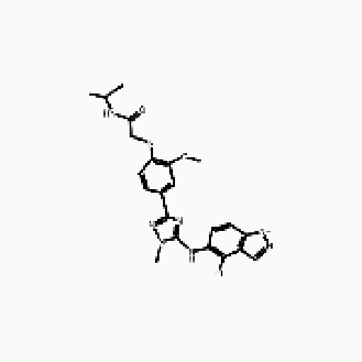 COc1cc(-c2nc(Nc3ccc4[nH]ncc4c3Cl)n(C)n2)ccc1NCC(=O)NC(C)C